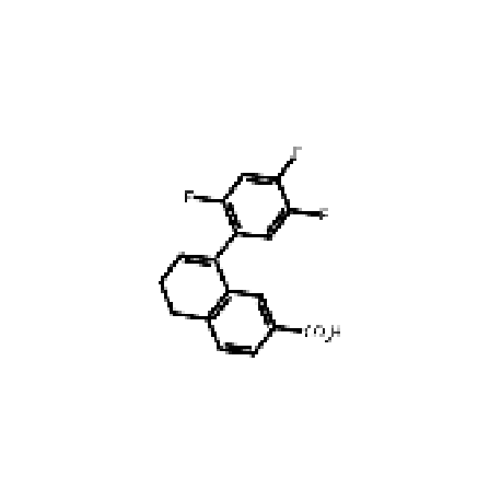 O=C(O)c1ccc2c(c1)C(c1cc(F)c(F)cc1F)=CCC2